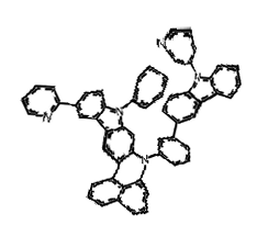 c1ccc(-n2c3ccc(-c4ccccn4)cc3c3cc4c(cc32)N(c2cccc(-c3ccc5c(c3)c3ccccc3n5-c3cccnc3)c2)c2cccc3cccc-4c23)cc1